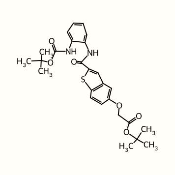 CC(C)(C)OC(=O)COc1ccc2sc(C(=O)Nc3ccccc3NC(=O)OC(C)(C)C)cc2c1